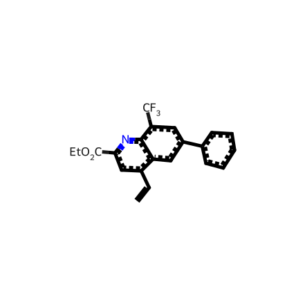 C=Cc1cc(C(=O)OCC)nc2c(C(F)(F)F)cc(-c3ccccc3)cc12